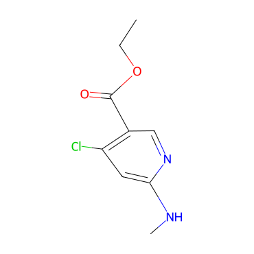 CCOC(=O)c1cnc(NC)cc1Cl